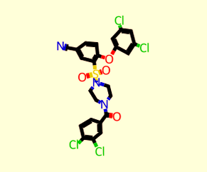 N#Cc1ccc(Oc2cc(Cl)cc(Cl)c2)c(S(=O)(=O)N2CCN(C(=O)c3ccc(Cl)c(Cl)c3)CC2)c1